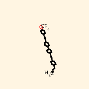 C=CCCc1ccc(C#Cc2ccc(-c3ccc(C#Cc4ccc(OC(F)(F)F)cc4)cc3)cc2)cc1